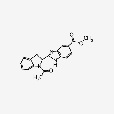 COC(=O)c1ccc2[nH]c(C3Cc4ccccc4N3C(C)=O)nc2c1